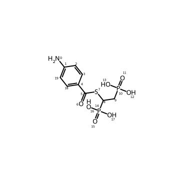 Nc1ccc(C(=O)SC(CP(=O)(O)O)P(=O)(O)O)cc1